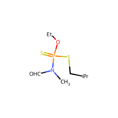 CCOP(=S)(SCC(C)C)N(C)C=O